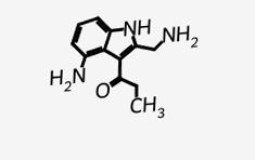 CCC(=O)c1c(CN)[nH]c2cccc(N)c12